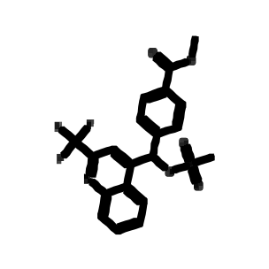 COC(=O)c1ccc(C(OS(C)(=O)=O)c2cc(C(F)(F)F)nc3ccccc23)cc1